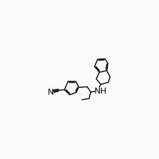 CCC(Cc1ccc(C#N)cc1)NC1CCc2ccccc2C1